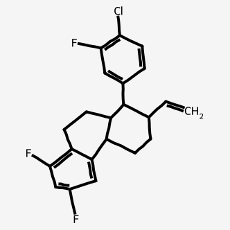 C=CC1CCC2c3cc(F)cc(F)c3CCC2C1c1ccc(Cl)c(F)c1